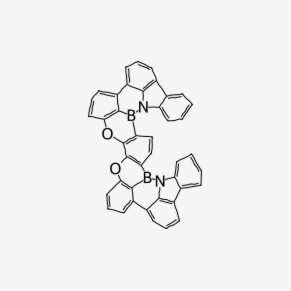 c1cc2c3c(c1)-c1cccc4c5ccccc5n(c14)B3c1ccc3c(c1O2)Oc1cccc2c1B3n1c3ccccc3c3cccc-2c31